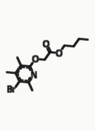 CCCCOC(=O)COc1nc(C)c(Br)c(C)c1C